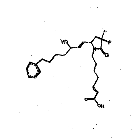 O=C(O)CCCCCCN1C(=O)C(F)(F)CC1C=CC(O)CCCCc1ccccc1